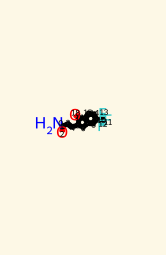 NC(=O)C=CC1Cc2cc(C(F)(F)F)ccc2C1=O